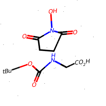 CC(C)(C)OC(=O)NCC(=O)O.O=C1CCC(=O)N1O